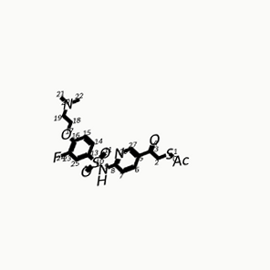 CC(=O)SCC(=O)c1ccc(NS(=O)(=O)c2ccc(OCCN(C)C)c(F)c2)nc1